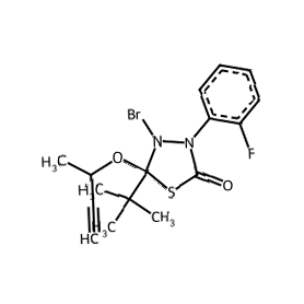 C#CC(C)OC1(C(C)(C)C)SC(=O)N(c2ccccc2F)N1Br